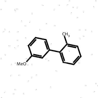 COc1[c]ccc(-c2ccccc2C)c1